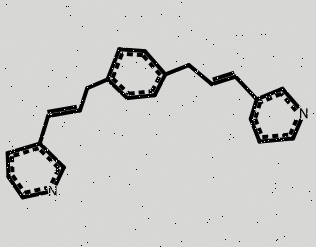 C(=C\c1cccnc1)/Cc1ccc(C/C=C/c2cccnc2)cc1